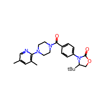 Cc1cnc(N2CCN(C(=O)c3ccc(N4C(=O)OCC4C(C)(C)C)cc3)CC2)c(C)c1